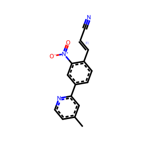 Cc1ccnc(-c2ccc(/C=C/C#N)c([N+](=O)[O-])c2)c1